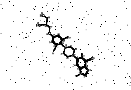 Cn1nnc2c(=O)[nH]c(N3CCN(c4c(F)cc(OCC(O)CO)cc4F)CC3)cc21